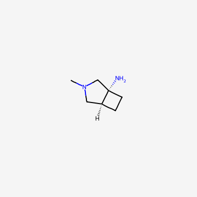 CN1C[C@@H]2CC[C@]2(N)C1